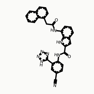 N#Cc1ccc(NC(=O)c2cc3cccc(NC(=O)Cc4cccc5ccccc45)c3[nH]2)c(-c2nnn[nH]2)c1